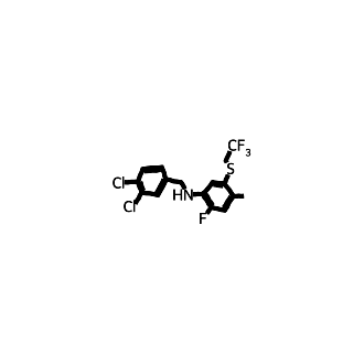 Cc1cc(F)c(NCc2ccc(Cl)c(Cl)c2)cc1SCC(F)(F)F